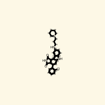 O=C1NC(=O)c2c1c(-c1ccccc1Cl)cc1[nH]c3ccc(NCCCN4CCCCC4)cc3c21